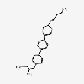 CCCCCC1CC=C(c2ccc(C3=CCC(CC(C)CC)CC3)cc2)CC1